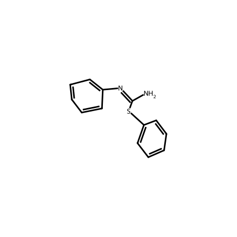 NC(=Nc1ccccc1)Sc1ccccc1